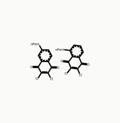 CCCCCc1ccc2c(c1)C(=O)C(Cl)=C(Cl)C2=O.CCCCCc1cccc2c1C(=O)C(Cl)=C(Cl)C2=O